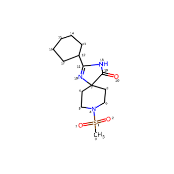 CS(=O)(=O)N1CCC2(CC1)N=C(C1CCCCC1)NC2=O